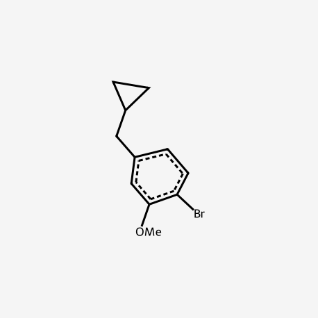 COc1cc(CC2CC2)ccc1Br